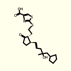 CC(O)(C/C=C/[C@H]1CCC(=O)[C@@H]1CCSc1nc(C(=O)O)cs1)CC1CCCC1